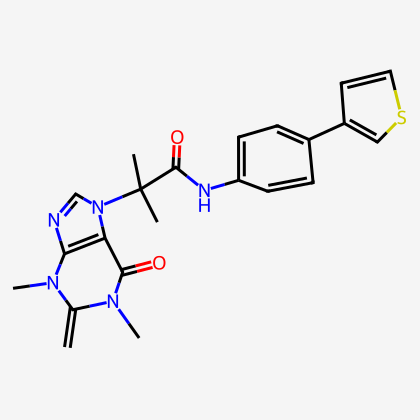 C=C1N(C)C(=O)c2c(ncn2C(C)(C)C(=O)Nc2ccc(-c3ccsc3)cc2)N1C